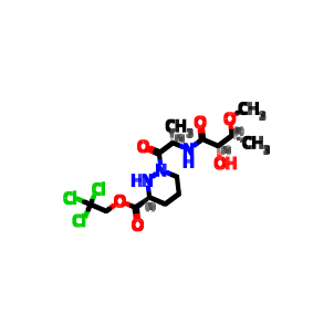 CO[C@H](C)[C@H](O)C(=O)N[C@@H](C)C(=O)N1CCC[C@@H](C(=O)OCC(Cl)(Cl)Cl)N1